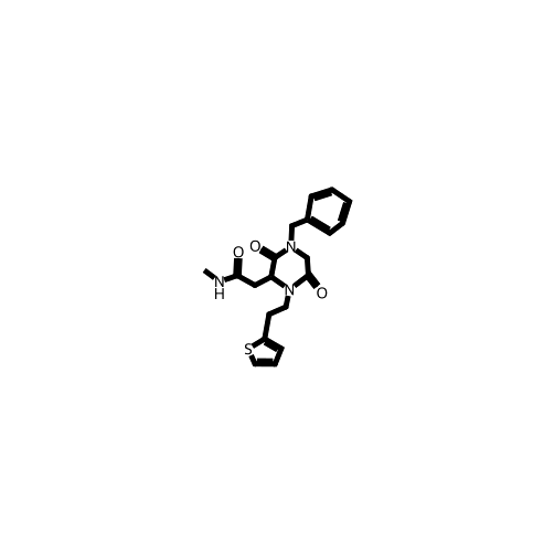 CNC(=O)CC1C(=O)N(Cc2ccccc2)CC(=O)N1CCc1cccs1